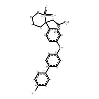 O=C(O)CC1(c2ccc(Oc3ccc(-c4ccc(F)cc4)cc3)cc2)CCCCS1(=O)=O